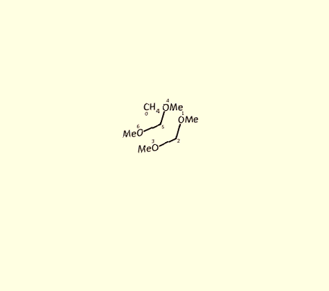 C.COCOC.COCOC